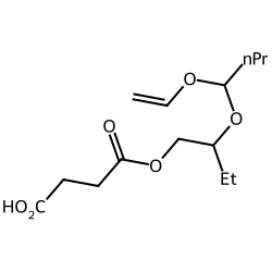 C=COC(CCC)OC(CC)COC(=O)CCC(=O)O